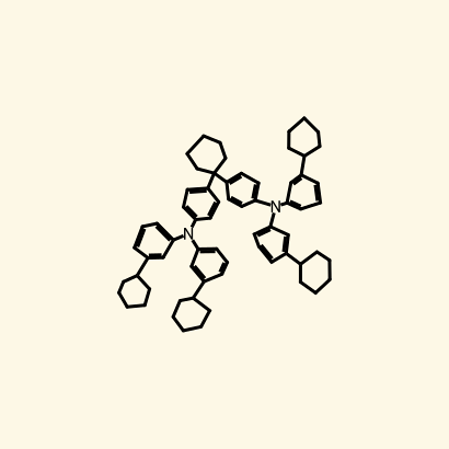 c1cc(C2CCCCC2)cc(N(c2ccc(C3(c4ccc(N(c5cccc(C6CCCCC6)c5)c5cccc(C6CCCCC6)c5)cc4)CCCCC3)cc2)c2cccc(C3CCCCC3)c2)c1